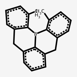 Cc1cccc2c1B1c3c(C)cccc3Cc3cccc(c31)C2